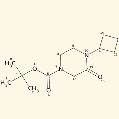 CC(C)(C)OC(=O)N1CCN(C2CCC2)C(=O)C1